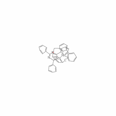 c1ccc(-c2nc(-c3ccccc3)nc(-c3cc4ccc3CCc3ccc(c(-n5c6ccccc6c6ccccc65)c3)CC4)n2)cc1